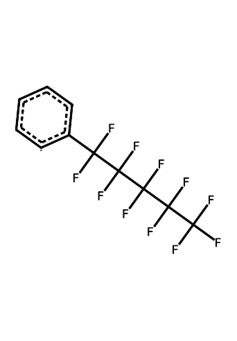 FC(F)(F)C(F)(F)C(F)(F)C(F)(F)C(F)(F)c1[c]cccc1